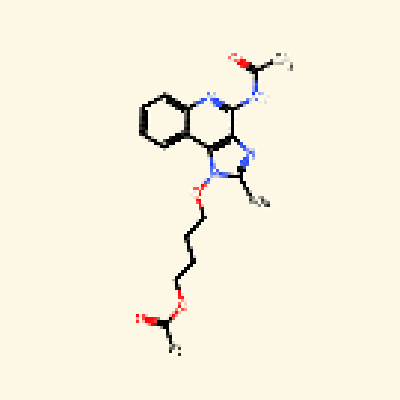 CCCCc1nc2c(NC(=O)C(F)(F)F)nc3ccccc3c2n1OCCCCOC(=O)CC